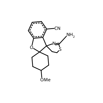 COC1CCC2(CC1)Oc1cccc(C#N)c1C21CCSC(N)=N1